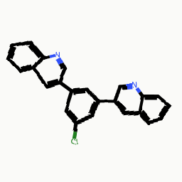 Clc1cc(-c2cnc3ccccc3c2)cc(-c2cnc3ccccc3c2)c1